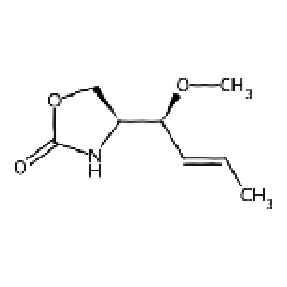 C/C=C/[C@H](OC)[C@@H]1COC(=O)N1